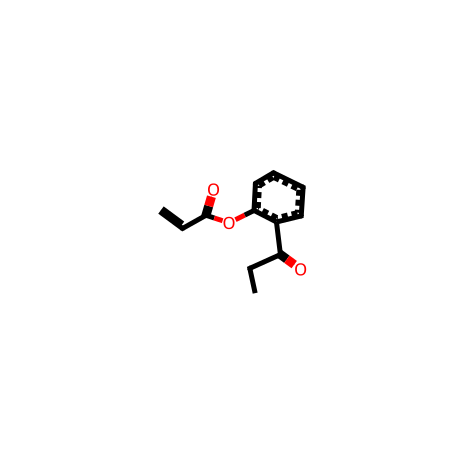 C=CC(=O)Oc1ccccc1C(=O)CC